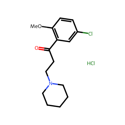 COc1ccc(Cl)cc1C(=O)CCN1CCCCC1.Cl